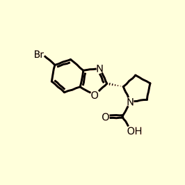 O=C(O)N1CCC[C@H]1c1nc2cc(Br)ccc2o1